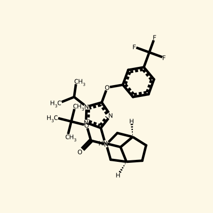 CC(C)n1nc(NC2[C@@H]3CC[C@H]2CN(C(=O)OC(C)(C)C)C3)nc1Oc1cccc(C(F)(F)F)c1